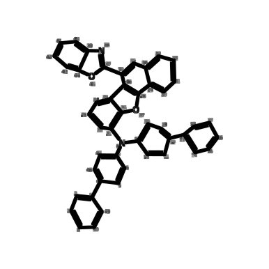 c1ccc(-c2ccc(N(c3ccc(-c4ccccc4)cc3)c3cccc4c3oc3c5ccccc5cc(-c5nc6ccccc6o5)c43)cc2)cc1